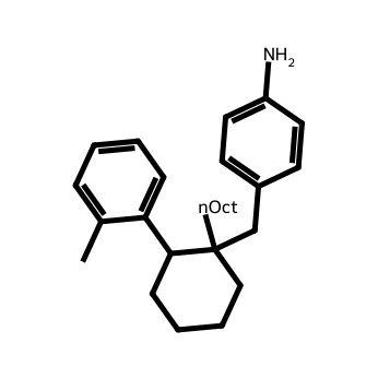 CCCCCCCCC1(Cc2ccc(N)cc2)CCCCC1c1ccccc1C